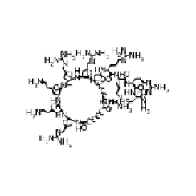 NCCCC[C@@H]1NC(=O)[C@H](CCCN=C(N)N)NC(=O)CCCCC(=O)NCCCCN(CC(=O)N[C@@H](CCCN=C(N)N)C(=O)N[C@@H](CCCN=C(N)N)C(=O)N[C@@H](CCCN=C(N)N)C(=O)N[C@@H](CS)C(N)=O)C(=O)[C@H](CCCN=C(N)N)NC(=O)[C@H](CCCN=C(N)N)NC(=O)[C@H](CCCCN)NC1=O